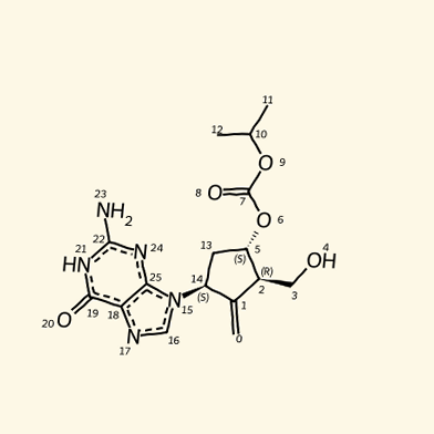 C=C1[C@H](CO)[C@@H](OC(=O)OC(C)C)C[C@@H]1n1cnc2c(=O)[nH]c(N)nc21